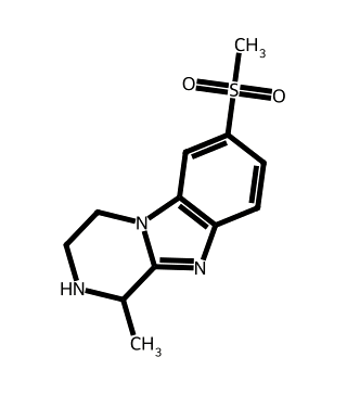 CC1NCCn2c1nc1ccc(S(C)(=O)=O)cc12